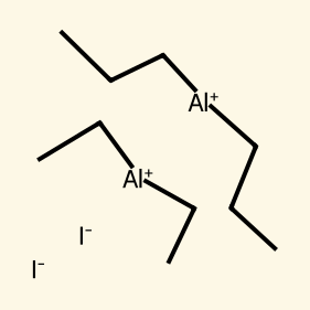 CC[CH2][Al+][CH2]CC.C[CH2][Al+][CH2]C.[I-].[I-]